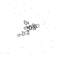 CS(=O)(=O)N1C2CCC1CC(c1cc(NCc3ccc(Cl)s3)n(C(=O)c3cscn3)n1)C2